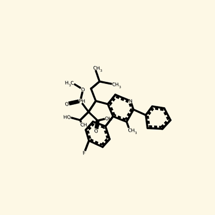 CO[PH](=O)C(C(=O)O)(C(C)O)C(CC(C)C)c1cnc(-c2ccccc2)c(C)c1-c1ccc(F)cc1